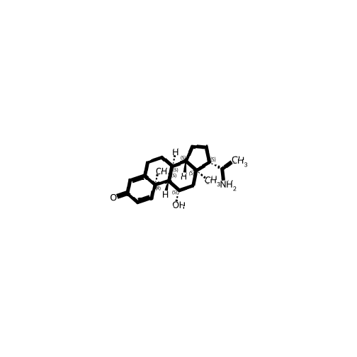 CC(N)[C@H]1CC[C@H]2[C@@H]3CCC4=CC(=O)C=C[C@]4(C)[C@H]3[C@@H](O)C[C@]12C